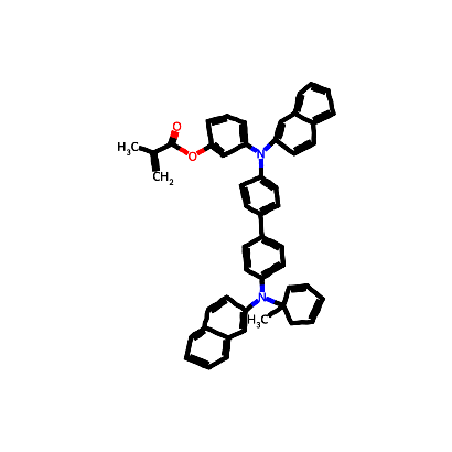 C=C(C)C(=O)Oc1cccc(N(c2ccc(-c3ccc(N(c4ccc5ccccc5c4)C4(C)C=CC=CC4)cc3)cc2)c2ccc3ccccc3c2)c1